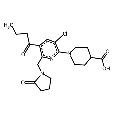 CCCC(=O)c1cc(Cl)c(N2CCC(C(=O)O)CC2)nc1CN1CCCC1=O